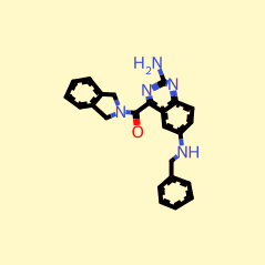 Nc1nc(C(=O)N2Cc3ccccc3C2)c2cc(NCc3ccccc3)ccc2n1